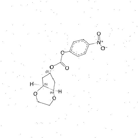 O=C(Oc1ccc([N+](=O)[O-])cc1)O[C@H]1C[C@@H]2OCCO[C@@H]2C1